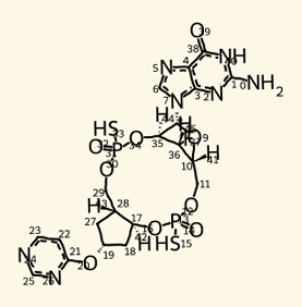 Nc1nc2c(ncn2[C@@H]2O[C@@H]3COP(=O)(S)O[C@H]4C[C@H](Oc5ccncn5)C[C@@H]4COP(=O)(S)O[C@@H]2[C@@H]3F)c(=O)[nH]1